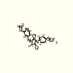 CC1C(=O)N(c2ccc(SC(F)(F)F)cc2)C(=O)N1Cc1ccnc(CN(C)C)c1